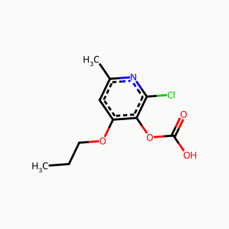 CCCOc1cc(C)nc(Cl)c1OC(=O)O